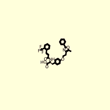 Cc1oc(-c2ccccc2)nc1CCOc1ccc(C[C@H](NC(=O)C=Cc2ccccc2C(F)(F)F)C(=O)O)cc1